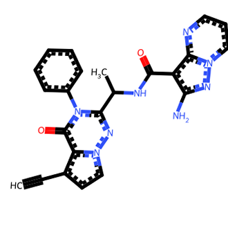 C#Cc1ccn2nc(C(C)NC(=O)c3c(N)nn4cccnc34)n(-c3ccccc3)c(=O)c12